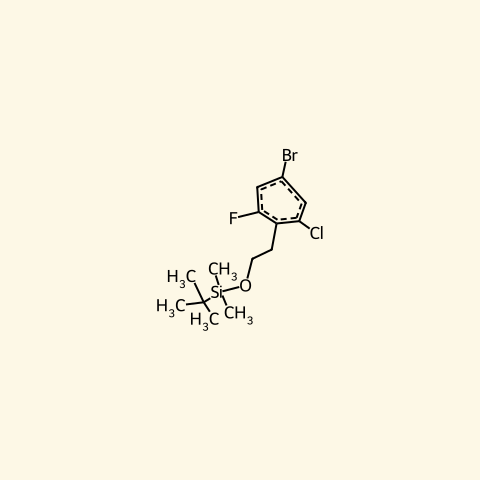 CC(C)(C)[Si](C)(C)OCCc1c(F)cc(Br)cc1Cl